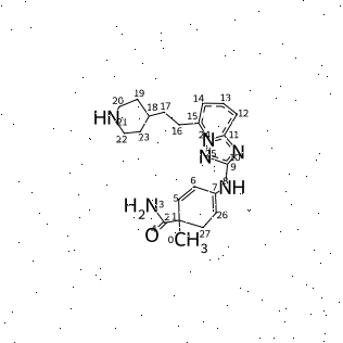 CC1(C(N)=O)C=CC(Nc2nc3cccc(CCC4CCNCC4)n3n2)=CC1